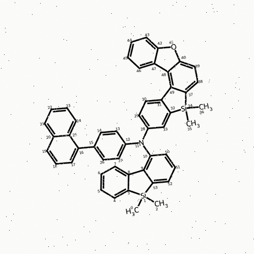 C[Si]1(C)c2ccccc2-c2c(N(c3ccc(-c4cccc5ccccc45)cc3)c3ccc4c(c3)[Si](C)(C)c3ccc5oc6ccccc6c5c3-4)cccc21